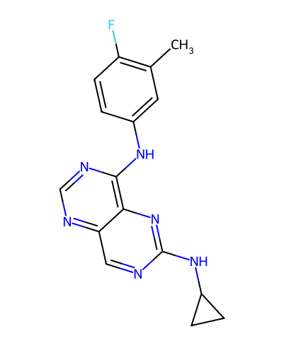 Cc1cc(Nc2ncnc3cnc(NC4CC4)nc23)ccc1F